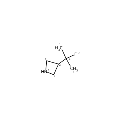 CC(C)(F)C1CNC1